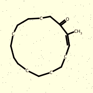 CC1=CCCCCCCCCCCCCCC1=O